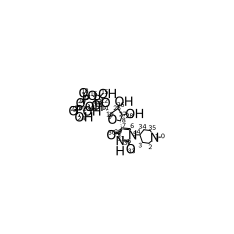 CN1CCC(n2cc([C@@H]3O[C@H](COP(=O)(O)OP(=O)(O)OP(=O)(O)O)C(O)C3O)c(=O)[nH]c2=O)CC1